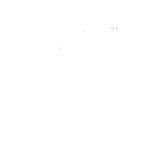 CC(CCCC(=O)O)(c1ccccc1)c1ccccc1